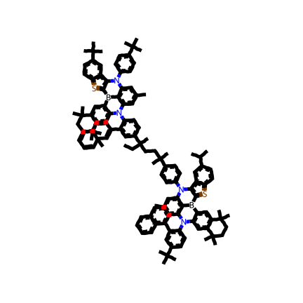 CCC(C)(CCC(C)(C)c1ccc(N2c3cc(C)cc4c3B(c3cc5c(cc3N4c3ccc(C(C)(C)C)cc3-c3cccc4ccccc34)C(C)(C)CCC5(C)C)c3sc4ccc(C(C)C)cc4c32)cc1)c1ccc(N2c3cc4c(cc3B3c5sc6ccc(C(C)(C)C)cc6c5N(c5ccc(C(C)(C)C)cc5)c5cc(C)cc2c53)C(C)(C)CCC4(C)C)c(C2=CC3(C)C=CC=CC3C=C2)c1